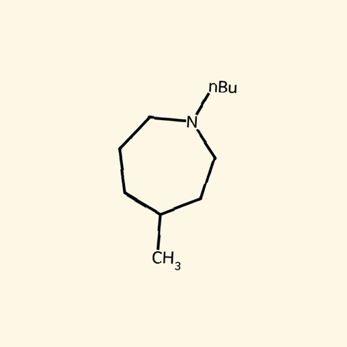 CCCCN1CCCC(C)CC1